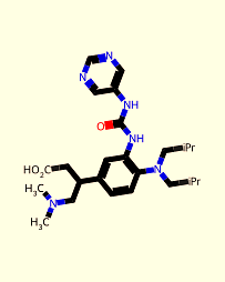 CC(C)CN(CC(C)C)c1ccc(C(CC(=O)O)CN(C)C)cc1NC(=O)Nc1cncnc1